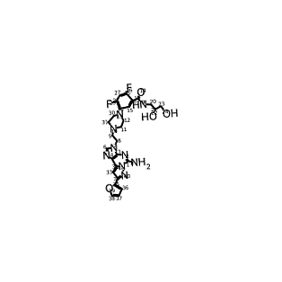 Nc1nc2c(ncn2CCN2CCN(c3cc(C(=O)NC[C@H](O)CO)c(F)cc3F)CC2)c2cc(-c3ccco3)nn12